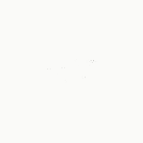 CCC(C(=O)OC)C1OC(=O)CS1